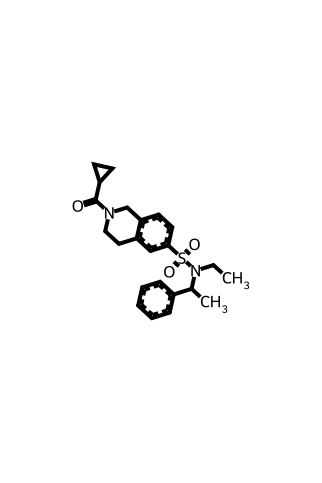 CCN(C(C)c1ccccc1)S(=O)(=O)c1ccc2c(c1)CCN(C(=O)C1CC1)C2